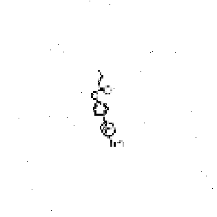 C/C=C/C(=O)Oc1ccc(C23CCC(CCC)(CC2)CC3)cc1